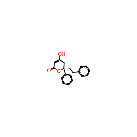 O=C1C=C(O)C[C@@](CCc2ccccc2)(c2ccccc2)O1